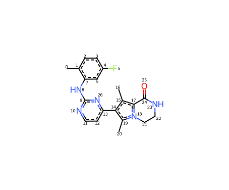 Cc1ccc(F)cc1Nc1nccc(-c2c(C)c3n(c2C)CCNC3=O)n1